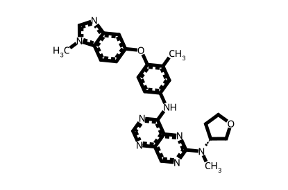 Cc1cc(Nc2ncnc3cnc(N(C)[C@@H]4CCOC4)nc23)ccc1Oc1ccc2c(c1)ncn2C